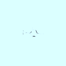 Fc1cnc(C2CC2)nc1